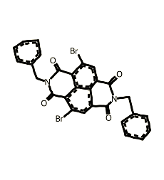 O=C1c2cc(Br)c3c4c(c(Br)cc(c24)C(=O)N1Cc1ccccc1)C(=O)N(Cc1ccccc1)C3=O